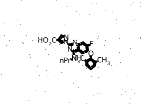 CCCNc1nc(-n2cc(C(=O)O)cn2)nc2cc(F)c(Oc3c(C)cccc3C)cc12